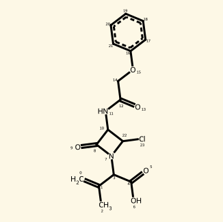 C=C(C)C(C(=O)O)N1C(=O)C(NC(=O)COc2ccccc2)C1Cl